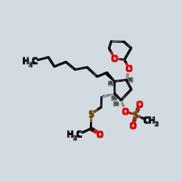 CCCCCCCC[C@@H]1[C@@H](CCSC(C)=O)[C@@H](OS(C)(=O)=O)C[C@H]1OC1CCCCO1